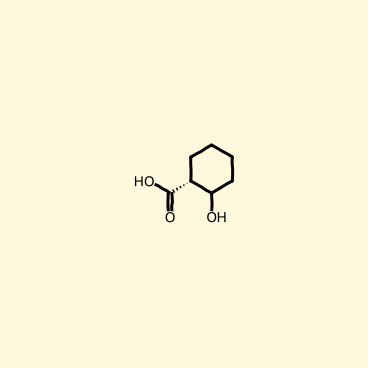 O=C(O)[C@@H]1CCCCC1O